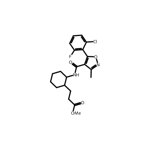 COC(=O)CCC1CCCCC1NC(=O)c1c(C)noc1-c1c(F)cccc1Cl